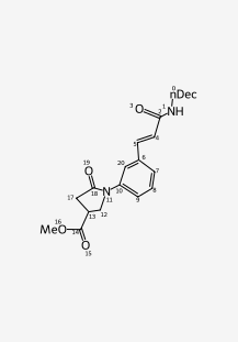 CCCCCCCCCCNC(=O)/C=C/c1cccc(N2CC(C(=O)OC)CC2=O)c1